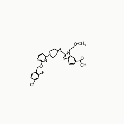 COCCn1c(C2CC23CCN(c2ccnc(OCc4ccc(Cl)cc4F)n2)CC3)nc2ccc(C(=O)O)cc21